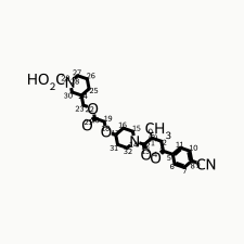 C[C@H](CC(=O)c1ccc(C#N)cc1)C(=O)N1CCC(OCC(=O)OCC2CCCN(C(=O)O)C2)CC1